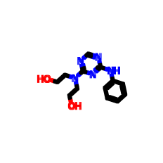 OCCN(CCO)c1ncnc(Nc2ccccc2)n1